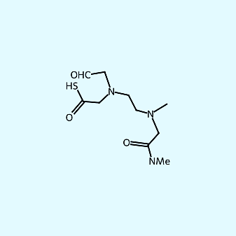 CNC(=O)CN(C)CCN(CC=O)CC(=O)S